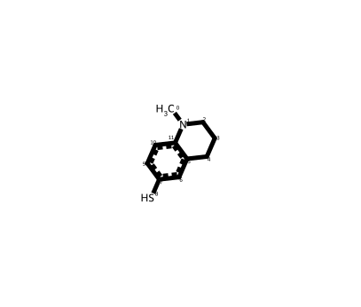 CN1CCCc2cc(S)ccc21